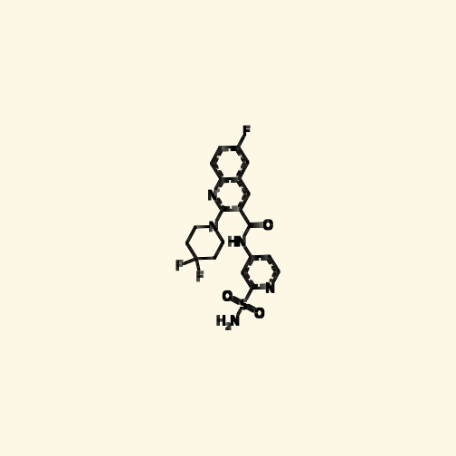 NS(=O)(=O)c1cc(NC(=O)c2cc3cc(F)ccc3nc2N2CCC(F)(F)CC2)ccn1